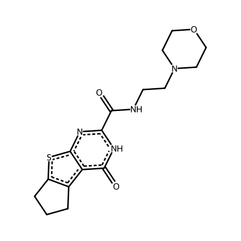 O=C(NCCN1CCOCC1)c1nc2sc3c(c2c(=O)[nH]1)CCC3